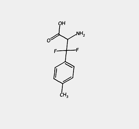 Cc1ccc(C(F)(F)C(N)C(=O)O)cc1